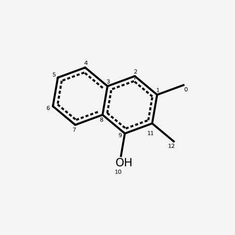 Cc1[c]c2ccccc2c(O)c1C